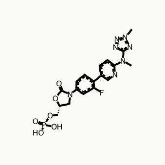 CN(c1ccc(-c2ccc(N3C[C@H](COP(=O)(O)O)OC3=O)cc2F)cn1)c1nnn(C)n1